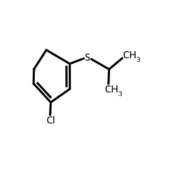 CC(C)SC1=CC(Cl)=CCC1